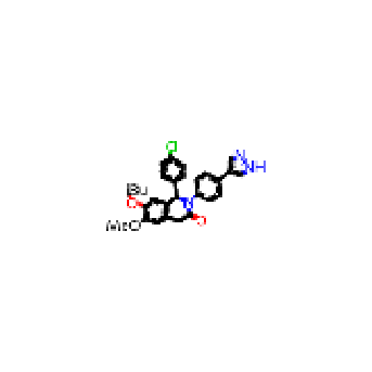 CCC(C)Oc1cc2c(cc1OC)CC(=O)N(c1ccc(-c3cn[nH]c3)cc1)C2c1ccc(Cl)cc1